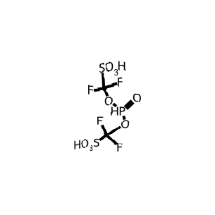 O=[PH](OC(F)(F)S(=O)(=O)O)OC(F)(F)S(=O)(=O)O